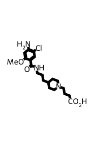 COc1cc(N)c(Cl)cc1C(=O)NCCCC1CCN(CCCC(=O)O)CC1